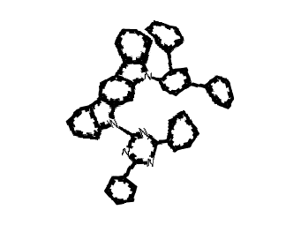 c1ccc(-c2ccc(-n3c4ccccc4c4cc5c6ccccc6n(-c6nc(-c7ccccc7)nc(-c7ccccc7)n6)c5cc43)c(-c3ccccc3)c2)cc1